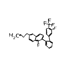 C=CCCc1ccc2c(F)c(-c3ccccc3-c3ccc(C(F)(F)F)c(F)c3)ccc2c1